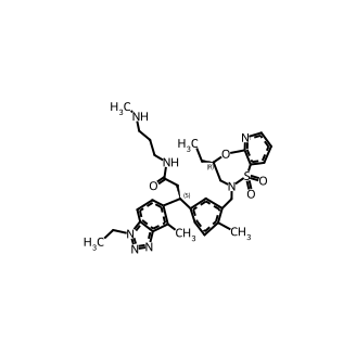 CC[C@@H]1CN(Cc2cc([C@H](CC(=O)NCCCNC)c3ccc4c(nnn4CC)c3C)ccc2C)S(=O)(=O)c2cccnc2O1